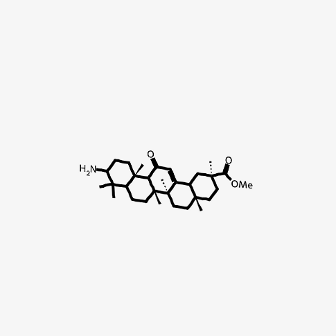 COC(=O)[C@@]1(C)CC[C@]2(C)CC[C@]3(C)C(=CC(=O)C4[C@@]5(C)CCC(N)C(C)(C)C5CC[C@]43C)C2C1